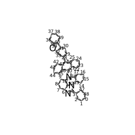 c1ccc(-c2nc3cccc4c3n2-c2ccccc2N4c2c3ccccc3c(-c3ccc4c(c3)oc3ccccc34)c3ccccc23)cc1